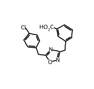 O=C(O)c1cccc(Cc2noc(Cc3ccc(Cl)cc3)n2)c1